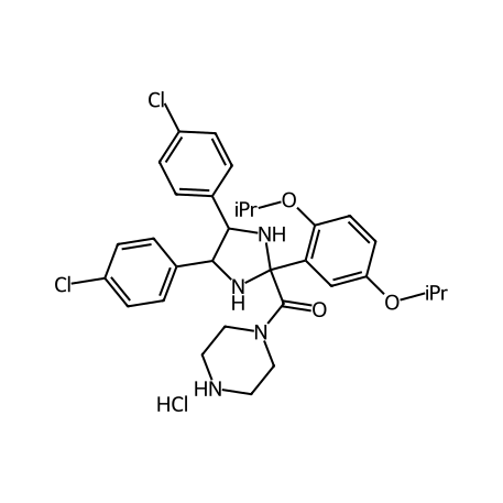 CC(C)Oc1ccc(OC(C)C)c(C2(C(=O)N3CCNCC3)NC(c3ccc(Cl)cc3)C(c3ccc(Cl)cc3)N2)c1.Cl